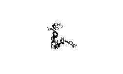 C=CC(=O)Nc1cccc(Oc2cnc3[nH]cc(-c4cnn(CCOC(C)C)c4)c3n2)c1